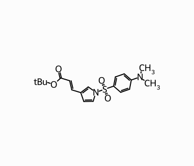 CN(C)c1ccc(S(=O)(=O)n2ccc(C=CC(=O)OC(C)(C)C)c2)cc1